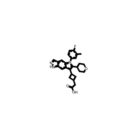 Cc1cc(-n2c(C3CCOCC3)c(C3CC(CC(=O)O)C3)c3cc4[nH]ncc4cc32)ccc1F